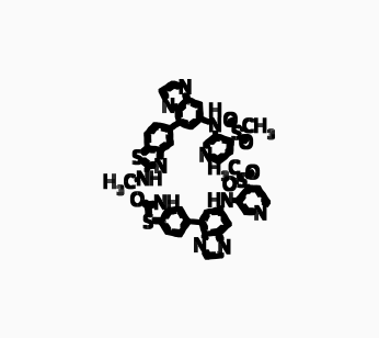 CNc1nc2cc(-c3cc(Nc4cnccc4S(C)(=O)=O)cc4nccnc34)ccc2s1.CS(=O)(=O)c1ccncc1Nc1cc(-c2ccc3sc(=O)[nH]c3c2)c2nccnc2c1